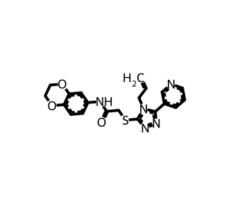 C=CCn1c(SCC(=O)Nc2ccc3c(c2)OCCO3)nnc1-c1cccnc1